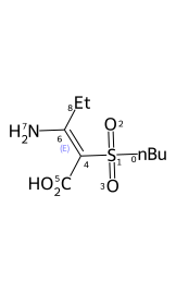 CCCCS(=O)(=O)/C(C(=O)O)=C(/N)CC